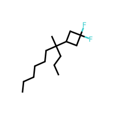 CCCCCCC(C)(CCC)C1CC(F)(F)C1